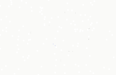 CCC1CCCCCCCCC(C)(C)CN1